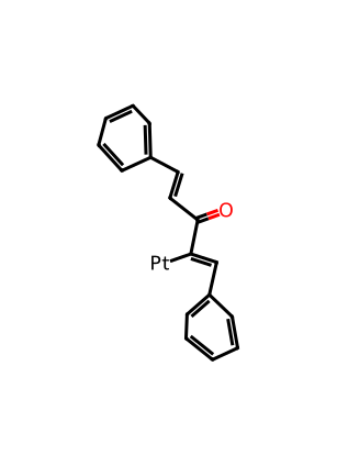 O=C(C=Cc1ccccc1)[C]([Pt])=Cc1ccccc1